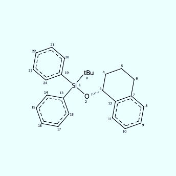 CC(C)(C)[Si](O[C@@H]1CCCc2ccccc21)(c1ccccc1)c1ccccc1